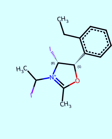 CCc1ccccc1[C@@H]1OC(C)=[N+](C(C)I)[C@@H]1I